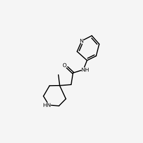 CC1(CC(=O)Nc2cccnc2)CCNCC1